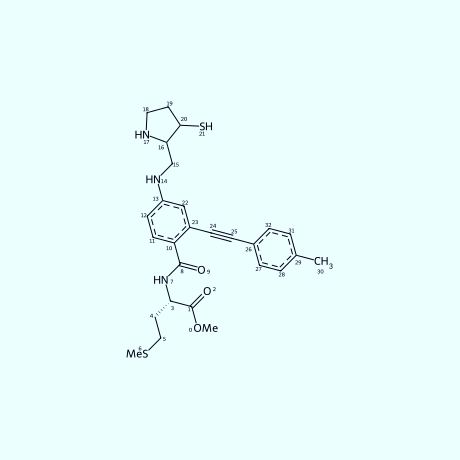 COC(=O)[C@H](CCSC)NC(=O)c1ccc(NCC2NCCC2S)cc1C#Cc1ccc(C)cc1